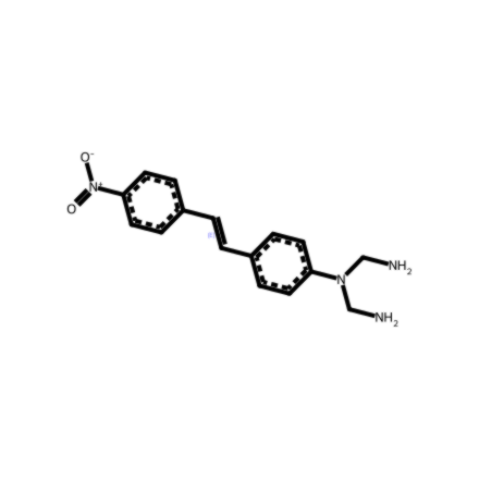 NCN(CN)c1ccc(/C=C/c2ccc([N+](=O)[O-])cc2)cc1